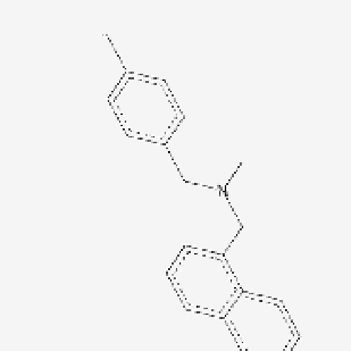 [CH2]c1ccc(CN(C)Cc2cccc3ccccc23)cc1